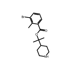 Cc1c(Br)cccc1C(=O)OC(C)(C)C1CCNCC1